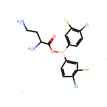 NCCC(N)C(=O)OB(c1ccc(Cl)c(F)c1)c1ccc(Cl)c(F)c1